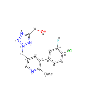 COc1ncc(Cn2nnc(CO)n2)cc1-c1ccc(Cl)c(F)c1